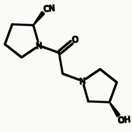 N#C[C@@H]1CCCN1C(=O)CN1CC[C@@H](O)C1